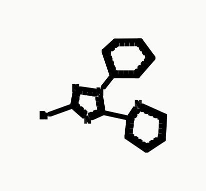 Brc1nc(-c2ccccn2)n(-c2ccccc2)n1